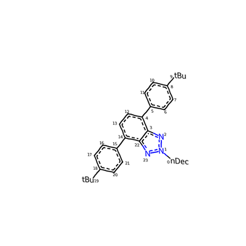 CCCCCCCCCCn1nc2c(-c3ccc(C(C)(C)C)cc3)ccc(-c3ccc(C(C)(C)C)cc3)c2n1